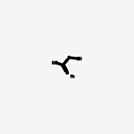 O=C(O)OO.[Fe]